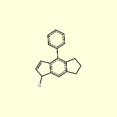 [Li][CH]1C=Cc2c1cc1c(c2-c2ccccc2)CCC1